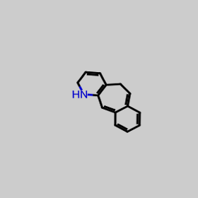 C1=CC2=C(C=c3ccccc3=CC2)NC1